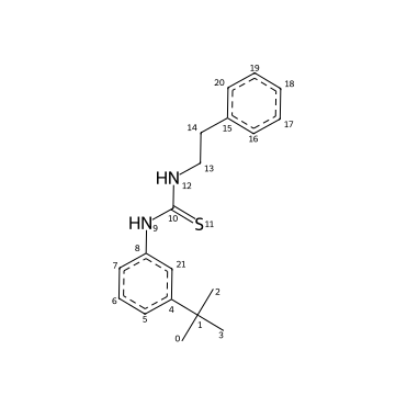 CC(C)(C)c1cccc(NC(=S)NCCc2ccccc2)c1